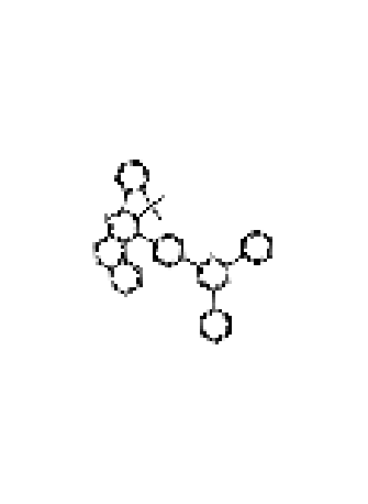 CC1(C)c2ccccc2-c2nc3ccc4ccccc4c3c(-c3ccc(-c4nc(-c5ccccc5)cc(-c5ccccc5)n4)cc3)c21